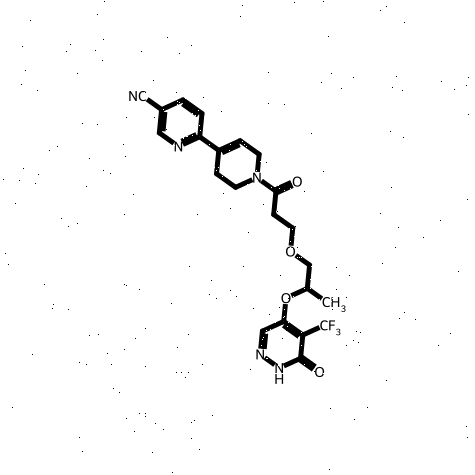 CC(COCCC(=O)N1CC=C(c2ccc(C#N)cn2)CC1)Oc1cn[nH]c(=O)c1C(F)(F)F